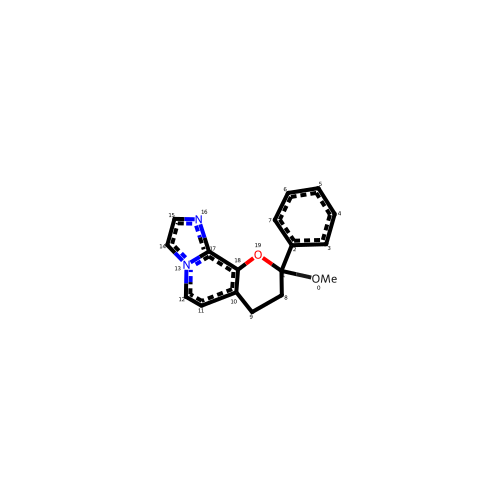 COC1(c2ccccc2)CCc2ccn3ccnc3c2O1